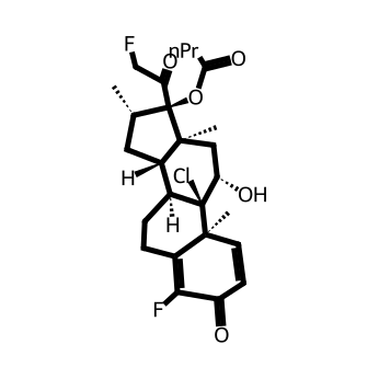 CCCC(=O)O[C@]1(C(=O)CF)[C@@H](C)C[C@H]2[C@@H]3CCC4=C(F)C(=O)C=C[C@]4(C)[C@@]3(Cl)[C@@H](O)C[C@@]21C